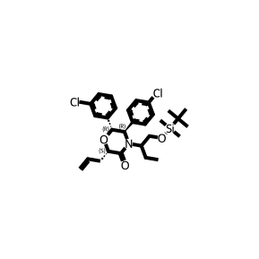 C=CC[C@@H]1O[C@H](c2cccc(Cl)c2)[C@@H](c2ccc(Cl)cc2)N(C(CC)CO[Si](C)(C)C(C)(C)C)C1=O